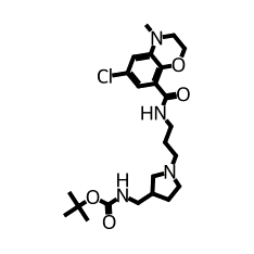 CN1CCOc2c(C(=O)NCCCN3CCC(CNC(=O)OC(C)(C)C)C3)cc(Cl)cc21